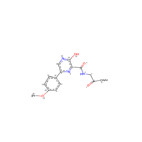 COC(=O)CNC(=O)c1nc(-c2ccc(OC(C)C)cc2)cnc1O